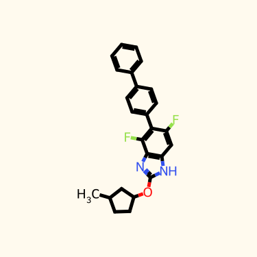 CC1CCC(Oc2nc3c(F)c(-c4ccc(-c5ccccc5)cc4)c(F)cc3[nH]2)C1